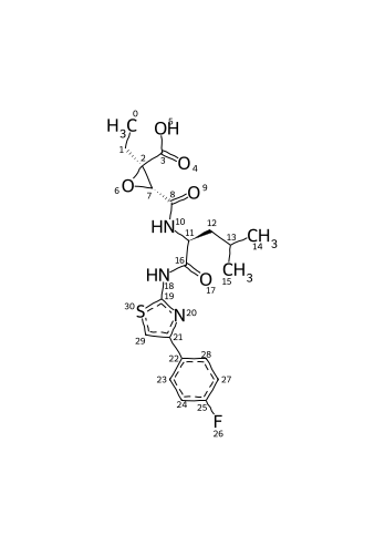 CC[C@@]1(C(=O)O)O[C@H]1C(=O)N[C@@H](CC(C)C)C(=O)Nc1nc(-c2ccc(F)cc2)cs1